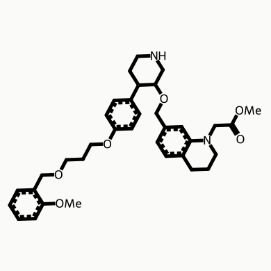 COC(=O)CN1CCCc2ccc(COC3CNCCC3c3ccc(OCCCOCc4ccccc4OC)cc3)cc21